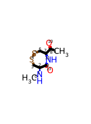 CN[C@H]1CSSCC(C(C)=O)NC1=O